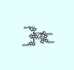 COc1ccc(C(OCC(COP(OCCC#N)N(C(C)C)C(C)C)Cc2ccc3c(C#Cc4cccc5cc(OC)ccc45)c4ccccc4c(C#Cc4cccc5cc(OC)ccc45)c3c2)(c2ccccc2)c2ccc(OC)cc2)cc1